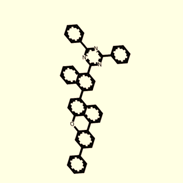 c1ccc(-c2ccc3c(c2)Oc2ccc(-c4ccc(-c5nc(-c6ccccc6)nc(-c6ccccc6)n5)c5ccccc45)c4cccc-3c24)cc1